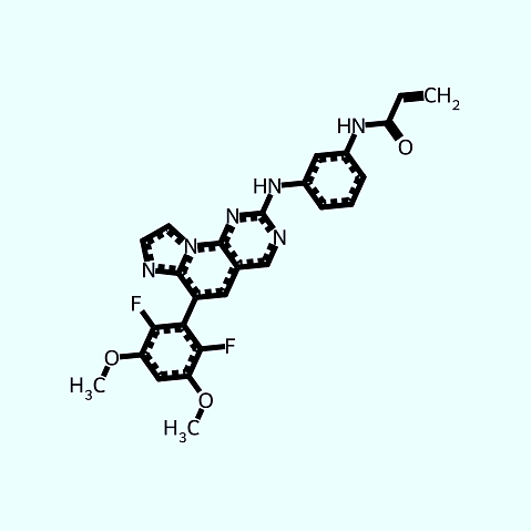 C=CC(=O)Nc1cccc(Nc2ncc3cc(-c4c(F)c(OC)cc(OC)c4F)c4nccn4c3n2)c1